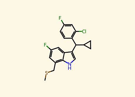 CSCc1cc(F)cc2c(C(c3ccc(F)cc3Cl)C3CC3)c[nH]c12